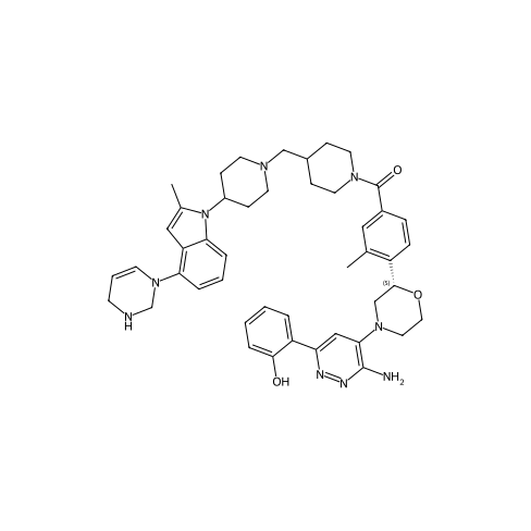 Cc1cc(C(=O)N2CCC(CN3CCC(n4c(C)cc5c(N6C=CCNC6)cccc54)CC3)CC2)ccc1[C@H]1CN(c2cc(-c3ccccc3O)nnc2N)CCO1